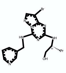 CC(C)[C@H](CO)Nc1nc(NCc2cccnc2)n2ncc(Br)c2n1